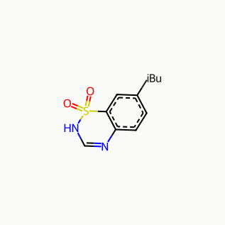 CCC(C)c1ccc2c(c1)S(=O)(=O)NC=N2